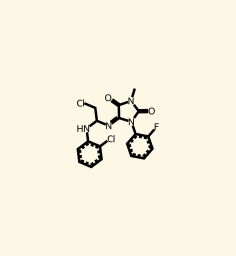 CN1C(=O)C(=NC(CCl)Nc2ccccc2Cl)N(c2ccccc2F)C1=O